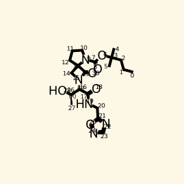 CCCC(C)(C)OC(=O)N1CCCC12CN([C@H](C(=O)NCc1ncno1)[C@@H](C)O)C2=O